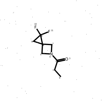 CCC(=O)N1CC2(C1)CC2(F)F